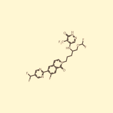 O=c1[nH]ncc(NC(CCCn2ccc3cc(-c4ncc(C(F)F)cn4)c(F)cc3c2=O)COC(F)F)c1C(F)(F)F